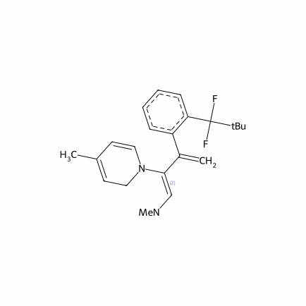 C=C(/C(=C/NC)N1C=CC(C)=CC1)c1ccccc1C(F)(F)C(C)(C)C